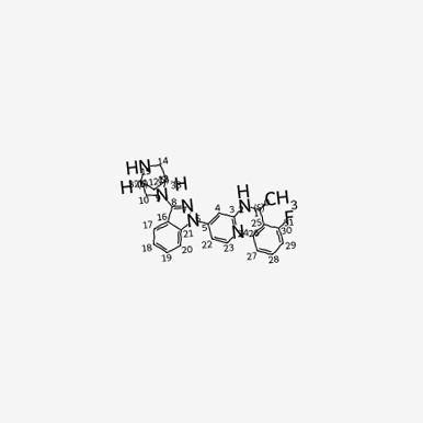 C[C@H](Nc1cc(-n2nc(N3C[C@@H]4C[C@H]3CN4)c3ccccc32)ccn1)c1ccccc1F